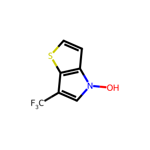 On1cc(C(F)(F)F)c2sccc21